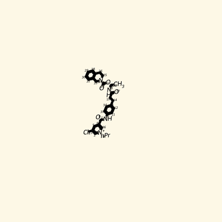 CCC[n+]1cc(Cl)cc(C(=O)Nc2ccc(CCC(=O)NC(C)OC(=O)N3CCc4ccccc4C3)cc2)c1